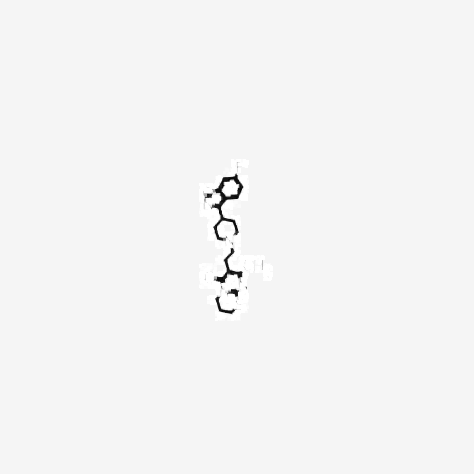 Cc1nc2n(c(=O)c1CCN1CCC(c3noc4cc(F)ccc34)CC1)CCCS2